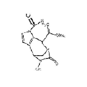 COC(=O)C1c2c(cnn2C(N)=O)C2CN1C(=O)N2O